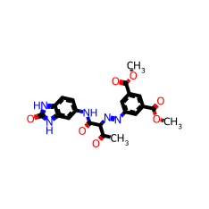 COC(=O)c1cc(/N=N/C(C(C)=O)C(=O)Nc2ccc3[nH]c(=O)[nH]c3c2)cc(C(=O)OC)c1